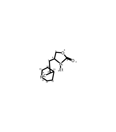 CCN1C(=O)OCC1CC1CN2CCC1CC2